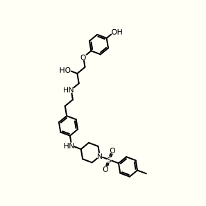 Cc1ccc(S(=O)(=O)N2CCC(Nc3ccc(CCNCC(O)COc4ccc(O)cc4)cc3)CC2)cc1